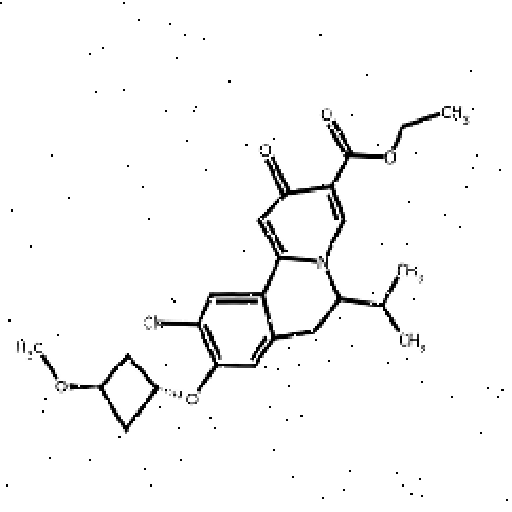 CCOC(=O)c1cn2c(cc1=O)-c1cc(Cl)c(O[C@H]3C[C@H](OC)C3)cc1CC2C(C)C